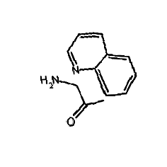 CC(=O)CN.c1ccc2ncccc2c1